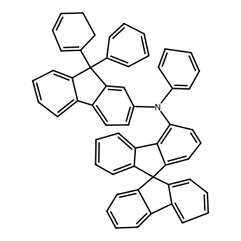 C1=CCCC(C2(c3ccccc3)c3ccccc3-c3ccc(N(c4ccccc4)c4cccc5c4-c4ccccc4C54c5ccccc5-c5ccccc54)cc32)=C1